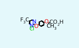 CC(Oc1ccc(OC2N=CC(C(F)(F)F)=CN2Cl)cc1)C(=O)O